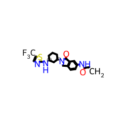 C=CC(=O)Nc1ccc2c(c1)C(=O)N([C@H]1CCC[C@@H](Nc3ncc(C(F)(F)F)s3)C1)C2